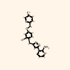 Nc1ncccc1-c1cc(Cc2ccc(OCc3ccc(F)cn3)cc2F)no1